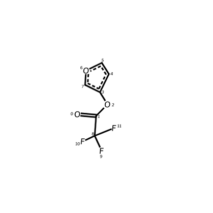 O=C(Oc1ccoc1)C(F)(F)F